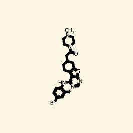 CN1CCN(C(=O)CC2CCc3c(sc4ncnc(Nc5ccc(Br)cc5F)c34)C2)CC1